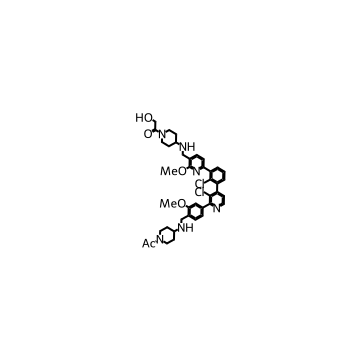 COc1cc(-c2nccc(-c3cccc(-c4ccc(CNC5CCN(C(=O)CO)CC5)c(OC)n4)c3Cl)c2Cl)ccc1CNC1CCN(C(C)=O)CC1